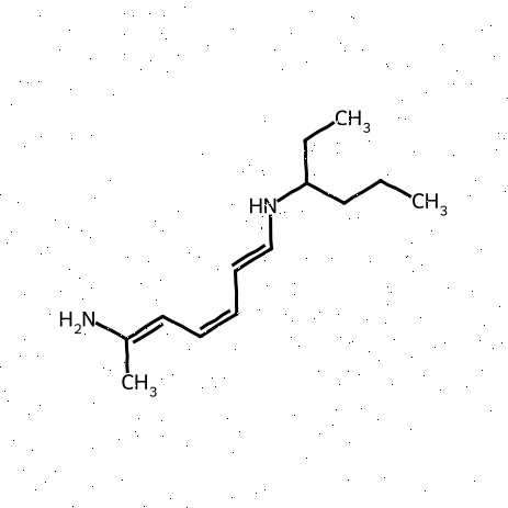 CCCC(CC)N/C=C/C=C\C=C(/C)N